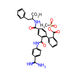 CS(=O)(=O)OC(=O)c1ccccc1-c1ccc(C(=O)NC(Cc2ccccc2)C(=O)O)cc1C(=O)Nc1ccc(C(=N)N)cc1